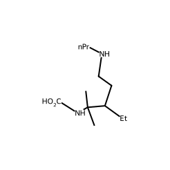 CCCNCCC(CC)C(C)(C)NC(=O)O